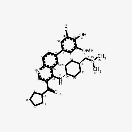 COc1cc(-c2ccc3ncc(C(=O)C4CCCC4)c(N[C@H]4CC[C@H](CN(C)C)CC4)c3c2)cc(Cl)c1O